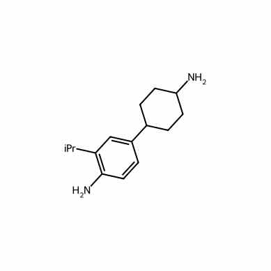 CC(C)c1cc(C2CCC(N)CC2)ccc1N